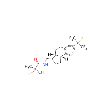 CC(C)(O)C(=O)NC[C@@H]1CC[C@H]2c3ccc(C(F)(C(F)(F)F)C(F)(F)F)cc3CC[C@@H]12